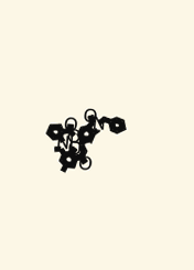 Cc1cc(C(C)Nc2ccccc2C(=O)O)c2oc(-c3ccc4c(c3)CN(Cc3ccccc3)C4=O)cc(=O)c2c1